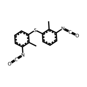 Cc1c(N=C=O)cccc1Sc1cccc(N=C=O)c1C